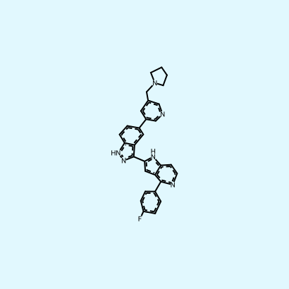 Fc1ccc(-c2nccc3[nH]c(-c4n[nH]c5ccc(-c6cncc(CN7CCCC7)c6)cc45)cc23)cc1